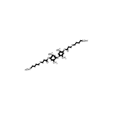 CCCCCCCCCCCCCCSCCC(=O)Oc1cc(C)c(Sc2cc(C(C)(C)C)c(OC(=O)CCSCCCCCCCCCCCCCC)cc2C)cc1C(C)(C)C